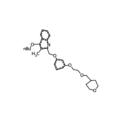 CCCCOc1c(C)c(COc2cccc(OCCOCC3CCOCC3)c2)nc2ccccc12